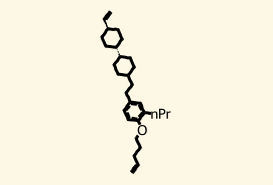 C=CCCCOc1ccc(CCC2CCC([C@H]3CC[C@H](C=C)CC3)CC2)cc1CCC